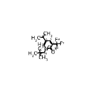 CC(C)c1cc(C(F)(F)F)c(=O)n(CC(C)(C)C)c1